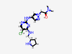 CN(C)C(=O)Cn1cc(Nc2ncc(Cl)c(NC[C@@H]3CCCN3)n2)cn1